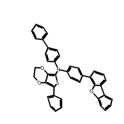 c1ccc(-c2ccc(N(c3ccc(-c4cccc5c4oc4ccccc45)cc3)c3sc(-c4ccccc4)c4c3OCCO4)cc2)cc1